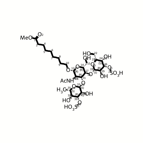 COC(=O)CCCCCCCCO[C@@H]1O[C@H](CO)[C@@H](O[C@@H]2O[C@H](CO)[C@H](O)[C@H](OS(=O)(=O)O)[C@H]2O)[C@H](O[C@@H]2O[C@@H](C)[C@@H](O)[C@@H](OS(=O)(=O)O)[C@@H]2O)[C@H]1NC(C)=O